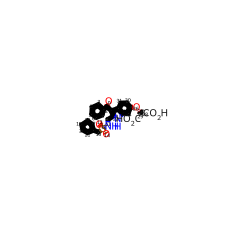 O=C(c1ccccc1)c1c(CNS(=O)(=O)Cc2ccccc2)[nH]c2cc(OC(C(=O)O)C(=O)O)ccc12